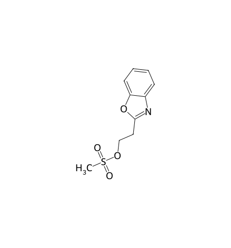 CS(=O)(=O)OCCc1nc2ccccc2o1